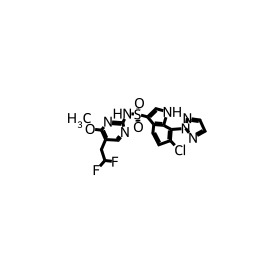 COc1nc(NS(=O)(=O)c2c[nH]c3c(-n4nccn4)c(Cl)ccc23)ncc1CC(F)F